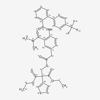 CCOC(=O)C(COC(=O)Cc1ccc(NC(=O)c2ccccc2-c2ccc(C(F)(F)F)cc2)c(C(=O)N(C)C)c1)(C(=O)OCC)c1ccsc1